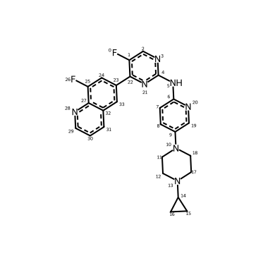 Fc1cnc(Nc2ccc(N3CCN(C4CC4)CC3)cn2)nc1-c1cc(F)c2ncccc2c1